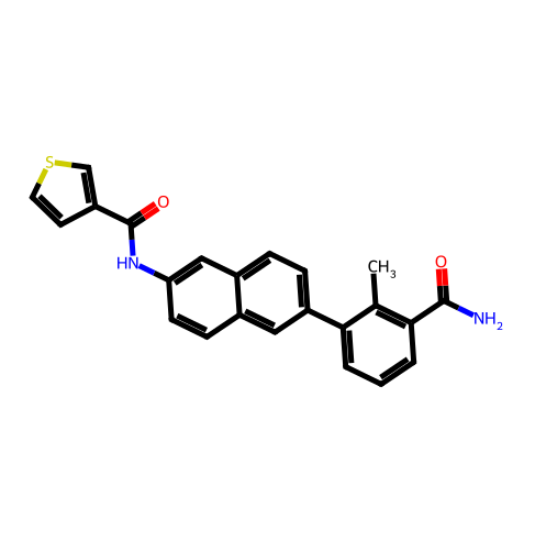 Cc1c(C(N)=O)cccc1-c1ccc2cc(NC(=O)c3ccsc3)ccc2c1